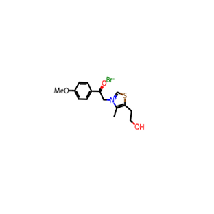 COc1ccc(C(=O)C[n+]2csc(CCO)c2C)cc1.[Br-]